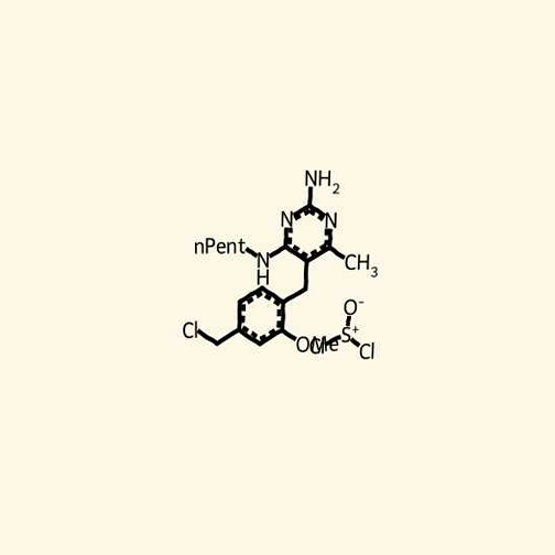 CCCCCNc1nc(N)nc(C)c1Cc1ccc(CCl)cc1OC.[O-][S+](Cl)Cl